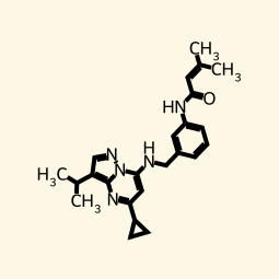 CC(C)=CC(=O)Nc1cccc(CNc2cc(C3CC3)nc3c(C(C)C)cnn23)c1